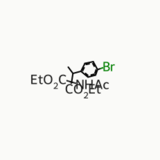 CCOC(=O)C(NC(C)=O)(C(=O)OCC)C(C)c1ccc(Br)cc1